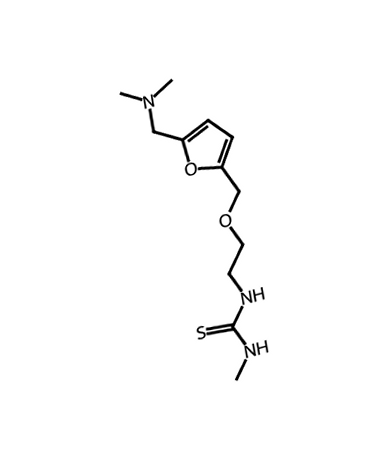 CNC(=S)NCCOCc1ccc(CN(C)C)o1